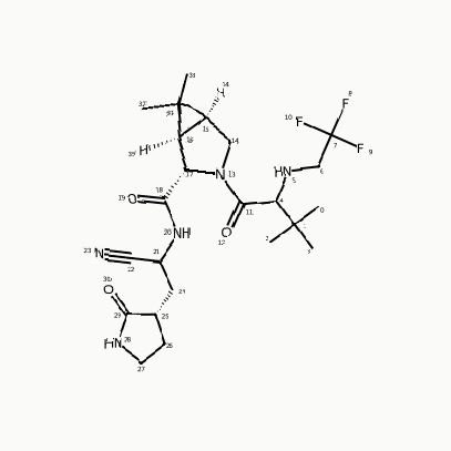 CC(C)(C)C(NCC(F)(F)F)C(=O)N1C[C@H]2[C@@H]([C@H]1C(=O)NC(C#N)C[C@@H]1CCNC1=O)C2(C)C